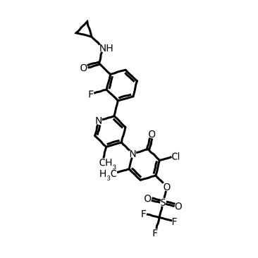 Cc1cnc(-c2cccc(C(=O)NC3CC3)c2F)cc1-n1c(C)cc(OS(=O)(=O)C(F)(F)F)c(Cl)c1=O